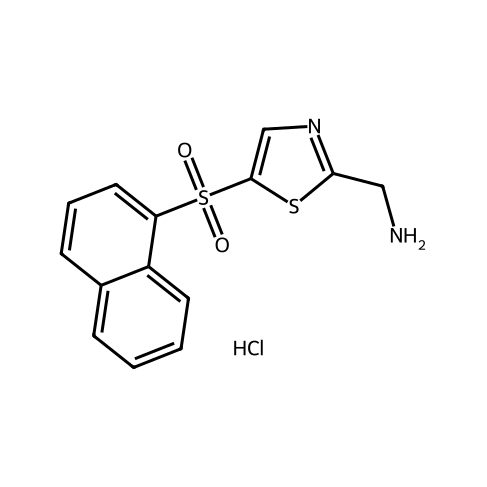 Cl.NCc1ncc(S(=O)(=O)c2cccc3ccccc23)s1